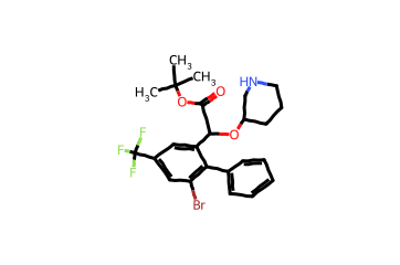 CC(C)(C)OC(=O)C(OC1CCCNC1)c1cc(C(F)(F)F)cc(Br)c1-c1ccccc1